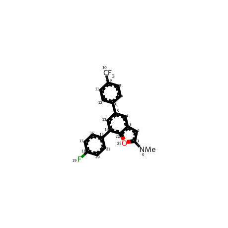 CNc1cc2cc(-c3ccc(C(F)(F)F)cc3)cc(-c3ccc(F)cc3)c2o1